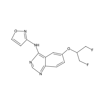 FCC(CF)Oc1ccc2ncnc(Nc3ccon3)c2c1